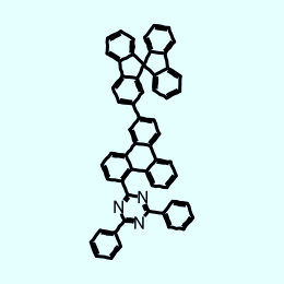 c1ccc(-c2nc(-c3ccccc3)nc(-c3cccc4c5cc(-c6ccc7c(c6)C6(c8ccccc8-c8ccccc86)c6ccccc6-7)ccc5c5ccccc5c34)n2)cc1